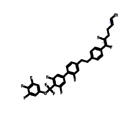 CC/C=C/CC/C(F)=C(\F)c1ccc(CCc2ccc(-c3cc(F)c(C(F)(F)Oc4cc(F)c(F)c(F)c4)c(F)c3)c(F)c2)cc1